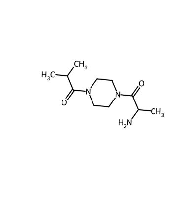 CC(C)C(=O)N1CCN(C(=O)C(C)N)CC1